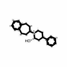 Cl.c1ccc(C2CCN(C3CCc4ccccc4CC3)CC2)cc1